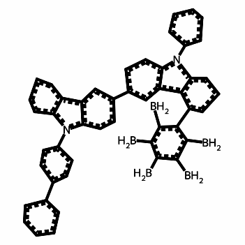 Bc1c(B)c(B)c(-c2cccc3c2c2cc(-c4ccc5c(c4)c4ccccc4n5-c4ccc(-c5ccccc5)cc4)ccc2n3-c2ccccc2)c(B)c1B